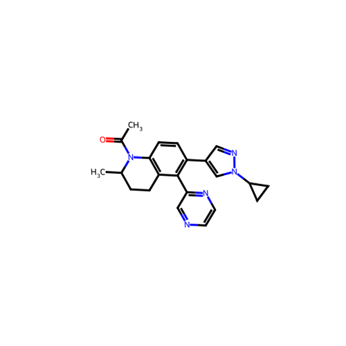 CC(=O)N1c2ccc(-c3cnn(C4CC4)c3)c(-c3cnccn3)c2CCC1C